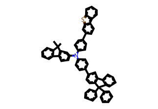 CC1(C)c2ccccc2-c2ccc(N(c3ccc(-c4ccc5c(c4)-c4ccccc4C5(c4ccccc4)c4ccccc4)cc3)c3ccc(-c4ccc5c(c4)sc4ccccc45)cc3)cc21